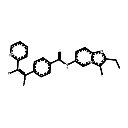 CCc1nc2ccc(NC(=O)c3ccc(/C(F)=C(/F)c4ccccn4)cc3)cn2c1C